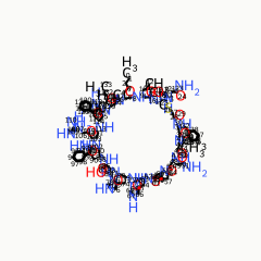 CCCCC[C@H]1C(=O)N[C@@H](CC(C)C)C(=O)N[C@H](C(=O)NCC(N)=O)CSCC(=O)N[C@@H](Cc2ccccc2)C(=O)N(C)[C@@H](C)C(=O)N[C@@H](CC(N)=O)C(=O)N2CCC[C@H]2C(=O)N[C@@H](Cc2c[nH]cn2)C(=O)N[C@@H](Cc2c[nH]cn2)C(=O)N[C@@H](CO)C(=O)N[C@@H](Cc2c[nH]c3ccccc23)C(=O)N[C@@H](CCCNC(=N)N)C(=O)N[C@@H](Cc2c[nH]c3ccccc23)C(=O)N(C)[C@@H](CCCC)C(=O)N1C